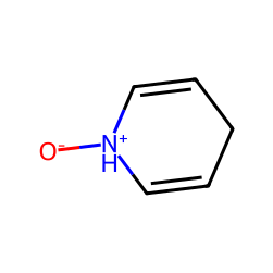 [O-][NH+]1C=CCC=C1